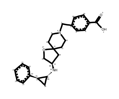 O=C(O)c1ccc(CN2CCC3(CC2)C[C@@H](N[C@@H]2C[C@H]2c2ccccc2)CO3)cc1